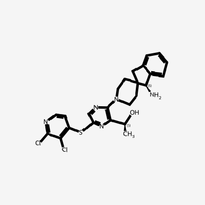 C[C@H](O)c1nc(Sc2ccnc(Cl)c2Cl)cnc1N1CCC2(CC1)Cc1ccccc1[C@H]2N